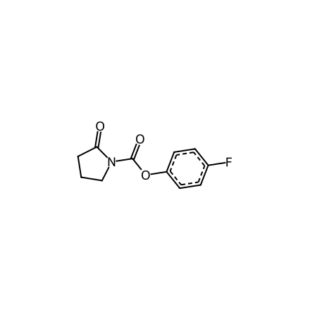 O=C1CCCN1C(=O)Oc1ccc(F)cc1